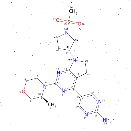 C[C@H]1COCCN1c1nc(-c2cnc(N)nc2)c2c(n1)N([C@@H]1CCN(S(C)(=O)=O)C1)CC2